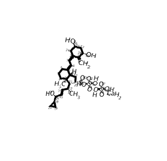 C=C1/C(=C\C=C2/CCC[C@]3(C)[C@@H]([C@H](C)/C=C/[C@@H](O)C4CC4)CC[C@@H]23)C[C@@H](O)C[C@@H]1O.O=S.O=S(=O)(O)O.O=S(=O)(O)O.[CaH2]